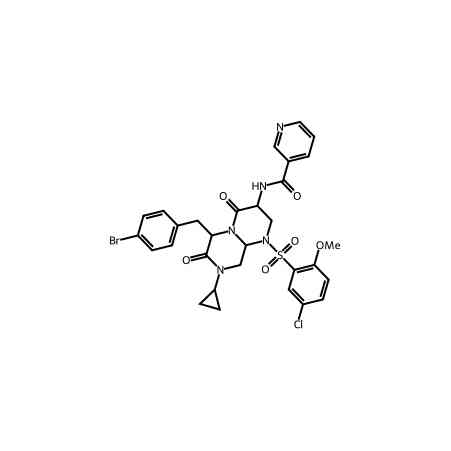 COc1ccc(Cl)cc1S(=O)(=O)N1CC(NC(=O)c2cccnc2)C(=O)N2C(Cc3ccc(Br)cc3)C(=O)N(C3CC3)CC21